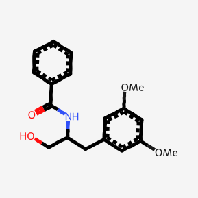 COc1cc(CC(CO)NC(=O)c2ccccc2)cc(OC)c1